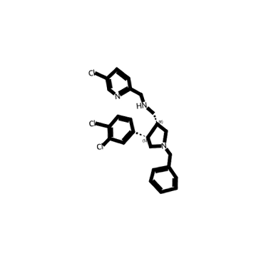 Clc1ccc(CNC[C@@H]2CN(Cc3ccccc3)C[C@@H]2c2ccc(Cl)c(Cl)c2)nc1